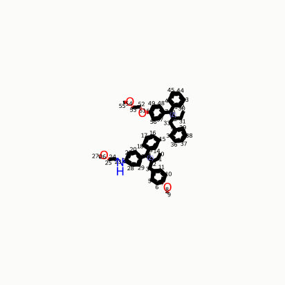 CC/C(Cc1ccc(OC)cc1)=C(\c1ccccc1)c1ccc(NCCOC)cc1.CC/C(Cc1ccccc1)=C(\c1ccccc1)c1ccc(OCCOC)cc1